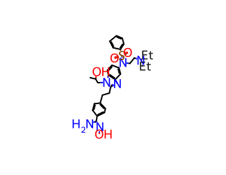 CCN(CC)CCN(c1ccc2c(c1)nc(CCc1ccc(C(N)=NO)cc1)n2CC(C)O)S(=O)(=O)c1ccccc1